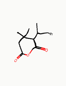 CC(C)C(C)C1C(=O)OC(=O)CC1(C)C